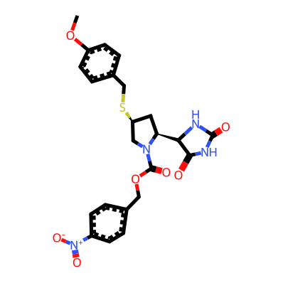 COc1ccc(CS[C@H]2C[C@@H](C3NC(=O)NC3=O)N(C(=O)OCc3ccc([N+](=O)[O-])cc3)C2)cc1